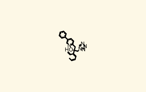 C=C/C(=C\C=C/C)[C@](O)(Cc1ccc(-c2ccccc2)cn1)Cn1cnnn1